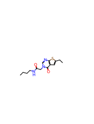 CCCCNC(=O)Cn1cnc2sc(CC)cc2c1=O